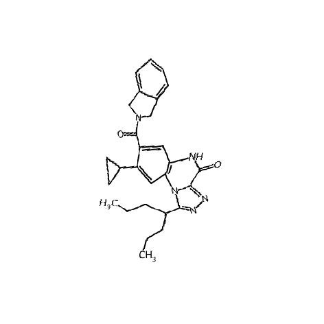 CCCC(CCC)c1nnc2c(=O)[nH]c3cc(C(=O)N4Cc5ccccc5C4)c(C4CC4)cc3n12